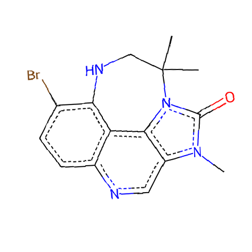 Cn1c(=O)n2c3c4c(c(Br)ccc4ncc31)NCC2(C)C